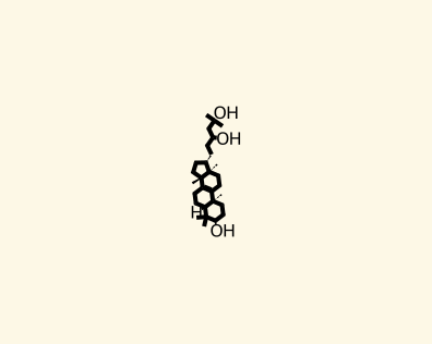 CC(C)(O)CC(O)CC[C@H]1CC[C@@]2(C)C3=C(CC[C@]12C)[C@@]1(C)CC[C@H](O)C(C)(C)[C@@H]1CC3